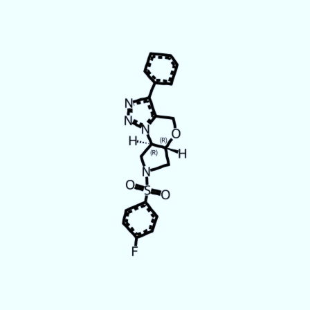 O=S(=O)(c1ccc(F)cc1)N1C[C@@H]2[C@@H](C1)OCc1c(-c3ccccc3)nnn12